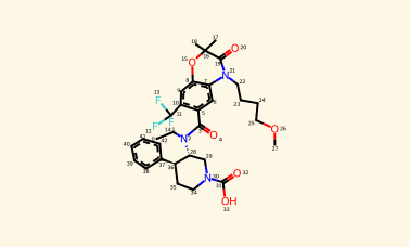 CCN(C(=O)c1cc2c(cc1C(F)(F)F)OC(C)(C)C(=O)N2CCCCOC)[C@@H]1CN(C(=O)O)CC[C@H]1c1ccccc1